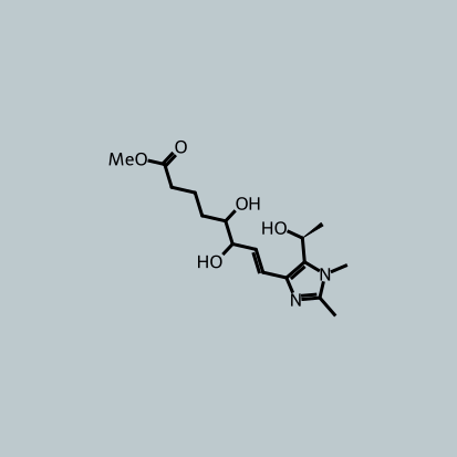 COC(=O)CCCC(O)C(O)/C=C/c1nc(C)n(C)c1[C@H](C)O